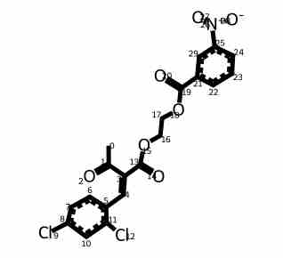 CC(=O)C(=Cc1ccc(Cl)cc1Cl)C(=O)OCCOC(=O)c1cccc([N+](=O)[O-])c1